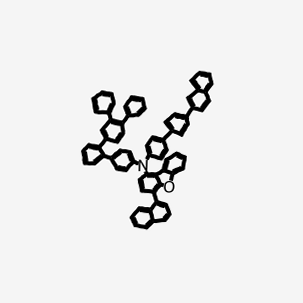 c1ccc(-c2ccc(-c3ccccc3-c3ccc(N(c4ccc(-c5ccc(-c6ccc7ccccc7c6)cc5)cc4)c4ccc(-c5cccc6ccccc56)c5oc6ccccc6c45)cc3)cc2-c2ccccc2)cc1